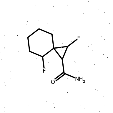 NC(=O)C1C(F)C12CCCCC2F